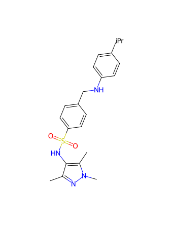 Cc1nn(C)c(C)c1NS(=O)(=O)c1ccc(CNc2ccc(C(C)C)cc2)cc1